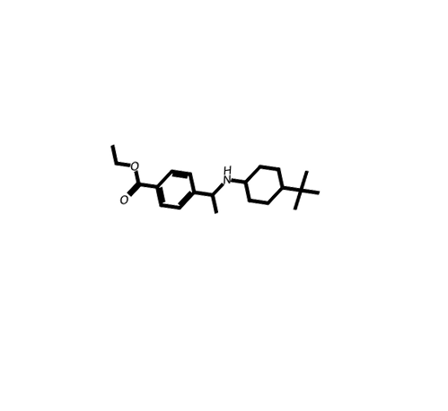 CCOC(=O)c1ccc(C(C)NC2CCC(C(C)(C)C)CC2)cc1